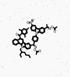 CCCCC(CC)Cn1c2ccc(/C(=N\OC(C)=O)c3ccc(-n4c5ccc(/C(C)=N/OC(C)=O)cc5c5cc([N+](=O)[O-])ccc54)cc3)cc2c2cc(C(=O)c3c(C)cc(C)cc3C)c3ccccc3c21